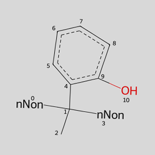 CCCCCCCCCC(C)(CCCCCCCCC)c1ccccc1O